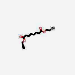 C#CCOC(=O)CCCCCCC(=O)OCCC#N